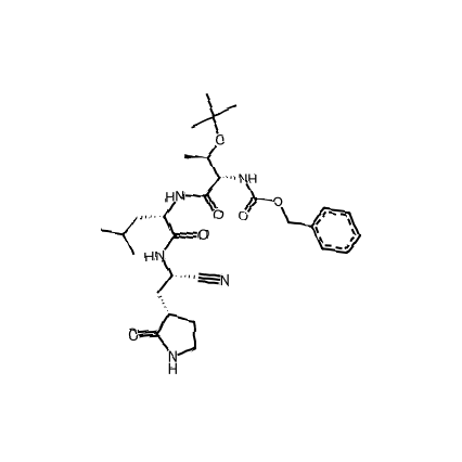 CC(C)C[C@H](NC(=O)[C@@H](NC(=O)OCc1ccccc1)[C@@H](C)OC(C)(C)C)C(=O)N[C@H](C#N)C[C@@H]1CCNC1=O